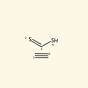 C#C.S=CS